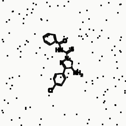 NC1CN(C(=S)NC(=O)c2ccccc2)N=C1c1ccc(Cl)cc1